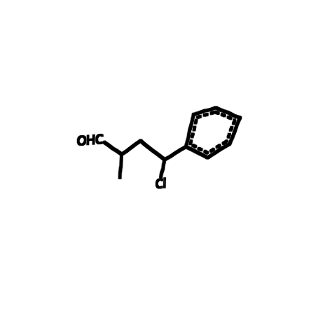 CC(C=O)CC(Cl)c1ccccc1